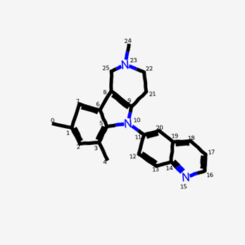 Cc1cc(C)c2c(c1)c1c(n2-c2ccc3ncccc3c2)CCN(C)C1